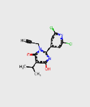 C#CCn1c(-c2cc(Cl)nc(Cl)c2)nc(O)c(C(C)C)c1=O